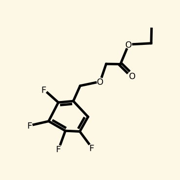 CCOC(=O)COCc1cc(F)c(F)c(F)c1F